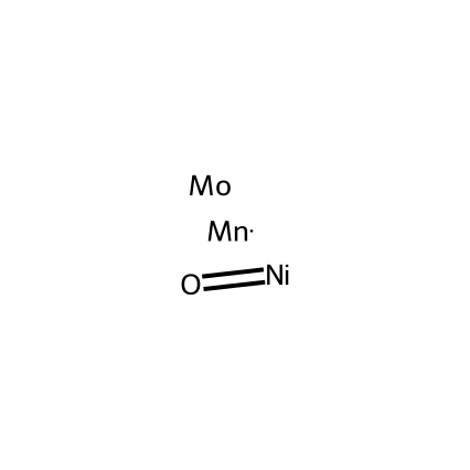 [Mn].[Mo].[O]=[Ni]